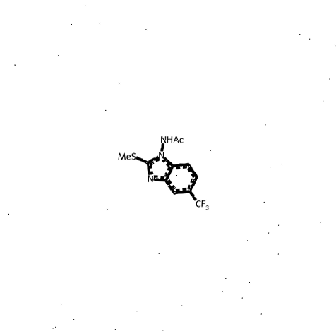 CSc1nc2cc(C(F)(F)F)ccc2n1NC(C)=O